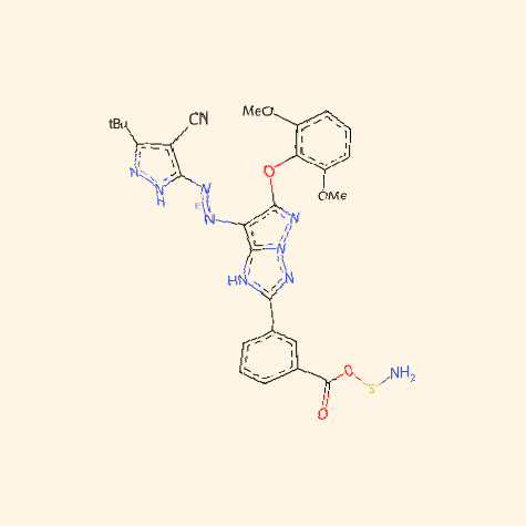 COc1cccc(OC)c1Oc1nn2nc(-c3cccc(C(=O)OSN)c3)[nH]c2c1/N=N/c1[nH]nc(C(C)(C)C)c1C#N